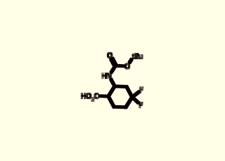 CC(C)(C)OC(=O)NC1CC(F)(F)CCC1C(=O)O